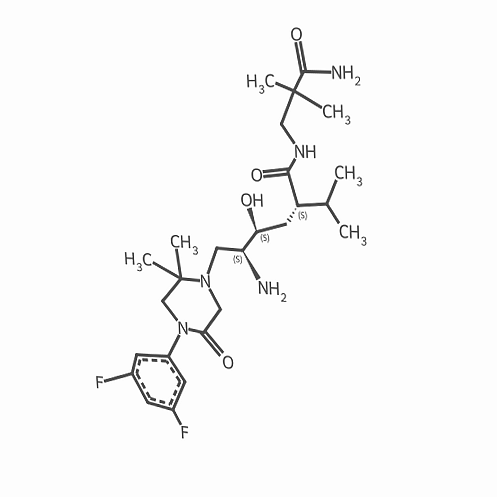 CC(C)[C@H](C[C@H](O)[C@@H](N)CN1CC(=O)N(c2cc(F)cc(F)c2)CC1(C)C)C(=O)NCC(C)(C)C(N)=O